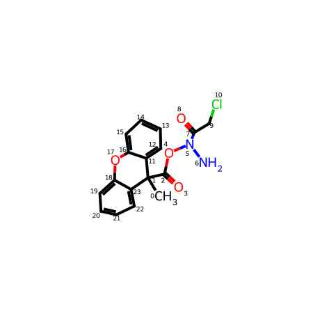 CC1(C(=O)ON(N)C(=O)CCl)c2ccccc2Oc2ccccc21